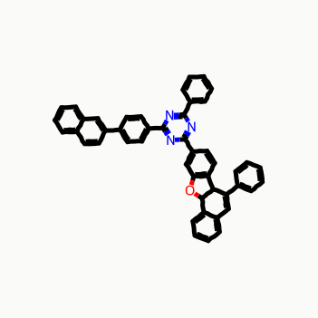 C1=C(c2ccccc2)C2c3ccc(-c4nc(-c5ccccc5)nc(-c5ccc(-c6ccc7ccccc7c6)cc5)n4)cc3OC2c2ccccc21